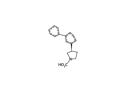 O=C(O)N1CC[C@H](c2cccc(-c3ccccc3)c2)C1